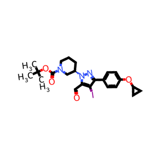 CC(C)(C)OC(=O)N1CCC[C@@H](n2nc(-c3ccc(OC4CC4)cc3)c(I)c2C=O)C1